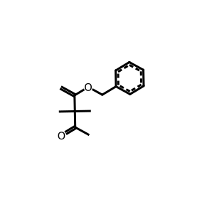 C=C(OCc1ccccc1)C(C)(C)C(C)=O